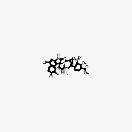 COC(=O)c1ccc(C(=O)C[C@H]2[C@@H](N)[C@H](c3cccc(Cl)c3F)[C@]3(C(=O)Nc4cc(Cl)ccc43)N2CC2CC2)c([N+](=O)[O-])c1OC